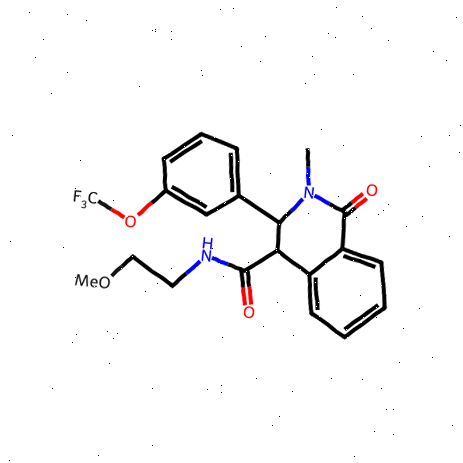 COCCNC(=O)C1c2ccccc2C(=O)N(C)C1c1cccc(OC(F)(F)F)c1